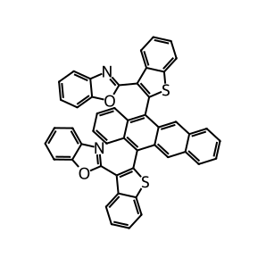 c1ccc2cc3c(-c4sc5ccccc5c4-c4nc5ccccc5o4)c4ccccc4c(-c4sc5ccccc5c4-c4nc5ccccc5o4)c3cc2c1